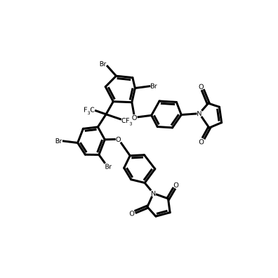 O=C1C=CC(=O)N1c1ccc(Oc2c(Br)cc(Br)cc2C(c2cc(Br)cc(Br)c2Oc2ccc(N3C(=O)C=CC3=O)cc2)(C(F)(F)F)C(F)(F)F)cc1